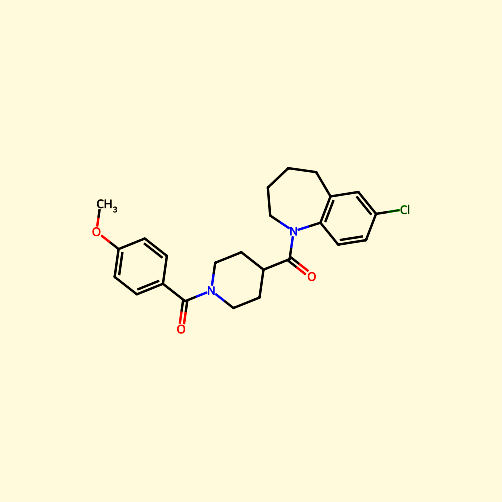 COc1ccc(C(=O)N2CCC(C(=O)N3CCCCc4cc(Cl)ccc43)CC2)cc1